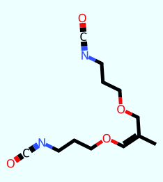 CC(=COCCCN=C=O)COCCCN=C=O